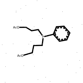 CC(=O)OCCCP(CCCOC(C)=O)c1ccccc1